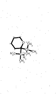 [CH3][Ge]([CH3])([CH3])[C]1([Ge]([CH3])([CH3])[CH3])CCCCO1